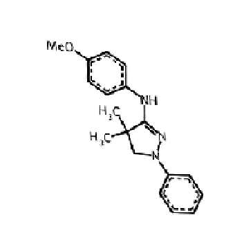 COc1ccc(NC2=NN(c3ccccc3)CC2(C)C)cc1